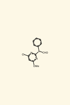 COc1cc(Cl)nc(N(C=O)c2ccccc2)n1